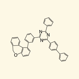 c1ccc(-c2ccc(-c3nc(-c4ccccc4)nc(-c4cccc(-c5cccc6c5-c5ccccc5CO6)c4)n3)cc2)cc1